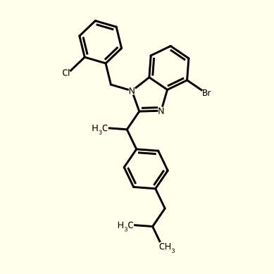 CC(C)Cc1ccc(C(C)c2nc3c(Br)cccc3n2Cc2ccccc2Cl)cc1